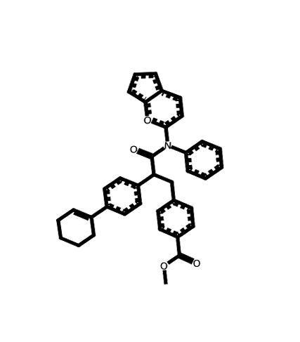 COC(=O)c1ccc(CC(C(=O)N(c2ccccc2)c2ccc3cccc-3o2)c2ccc(C3=CCCCC3)cc2)cc1